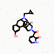 O=C(c1ccc[nH]c1=O)N1C[C@H]2CC34CCC1C2C31CCN(CC2CC2)C4Cc2ccc(O)cc21